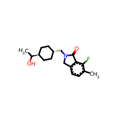 Cc1ccc2c(c1F)C(=O)N(C[C@H]1CC[C@H](C(C)O)CC1)C2